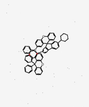 c1ccc(N(c2ccc3c(c2)C(c2ccccc2)(c2ccccc2)c2ccccc2O3)c2ccc3c(c2)C2(c4ccccc4O3)c3cc(C4CCCCC4)ccc3-c3ccc(C4CCCCC4)cc32)cc1